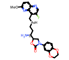 COc1ccc2ncc(F)c(C[AsH]CC[C@H](N)C3CN(c4ccc5c(c4)OCCO5)C(=O)O3)c2n1